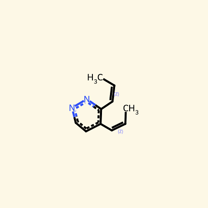 C/C=C\c1ccnnc1/C=C\C